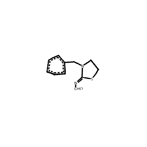 O=C/N=C1\SCCN1Cc1ccccc1